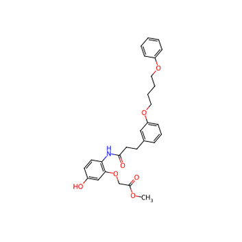 COC(=O)COc1cc(O)ccc1NC(=O)CCc1cccc(OCCCCOc2ccccc2)c1